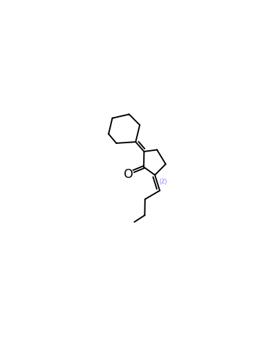 CCC/C=C1/CCC(=C2CCCCC2)C1=O